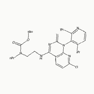 C=C1N=C(NCCN(CCC)C(=O)OC(C)(C)C)c2ccc(Cl)nc2N1c1c(C(C)C)ccnc1C(C)C